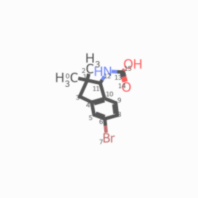 CC1(C)Cc2cc(Br)ccc2C1NC(=O)O